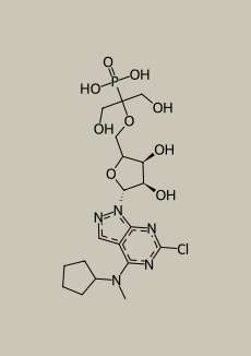 CN(c1nc(Cl)nc2c1cnn2[C@@H]1OC(COC(CO)(CO)P(=O)(O)O)[C@@H](O)[C@H]1O)C1CCCC1